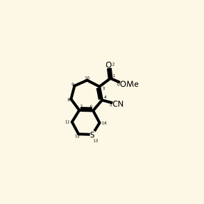 COC(=O)C1=C(C#N)C2=C(CCC1)CCSC2